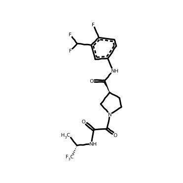 C[C@H](NC(=O)C(=O)N1CC[C@H](C(=O)Nc2ccc(F)c(C(F)F)c2)C1)C(F)(F)F